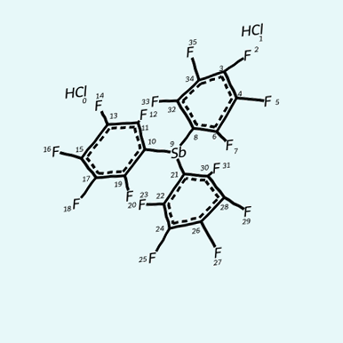 Cl.Cl.Fc1c(F)c(F)[c]([Sb]([c]2c(F)c(F)c(F)c(F)c2F)[c]2c(F)c(F)c(F)c(F)c2F)c(F)c1F